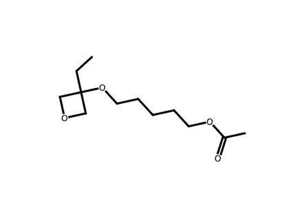 CCC1(OCCCCCOC(C)=O)COC1